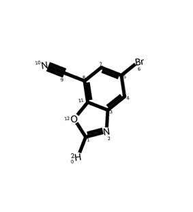 [2H]c1nc2cc(Br)cc(C#N)c2o1